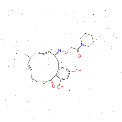 CC1/C=C/CCOC(=O)c2c(O)cc(O)cc2CC(=N\OCC(=O)N2CCCCC2)/C=C/C1